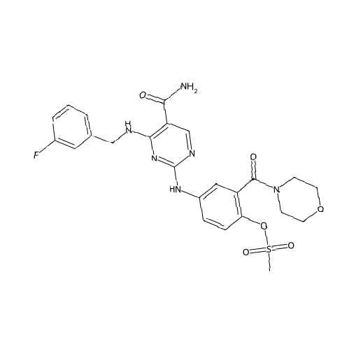 CS(=O)(=O)Oc1ccc(Nc2ncc(C(N)=O)c(NCc3cccc(F)c3)n2)cc1C(=O)N1CCOCC1